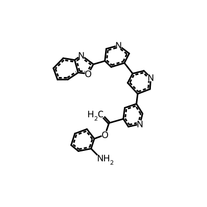 C=C(Oc1ccccc1N)c1cncc(-c2cncc(-c3cncc(-c4nc5ccccc5o4)c3)c2)c1